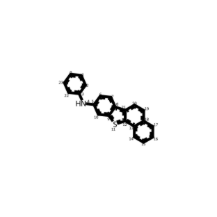 c1ccc(Nc2ccc3c(c2)sc2c4ccccc4ccc32)cc1